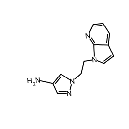 Nc1cnn(CCn2ccc3cccnc32)c1